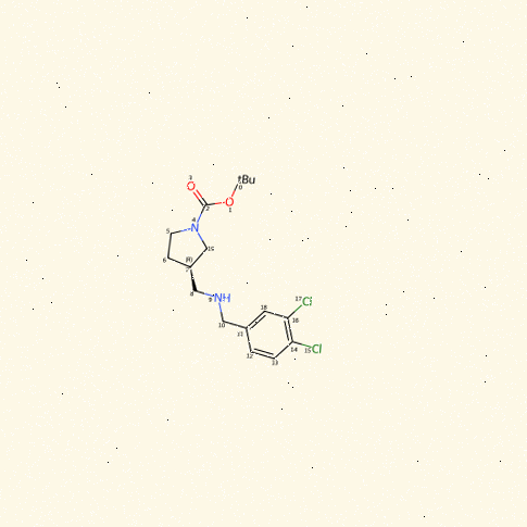 CC(C)(C)OC(=O)N1CC[C@H](CNCc2ccc(Cl)c(Cl)c2)C1